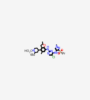 Cc1cc(Nc2ncc(Cl)c(Nc3cn(C)nc3S(=O)(=O)C(C)C)n2)c2c(c1C1CCN(C(=O)O)C(C(C)(C)C)C1)CC(C)O2